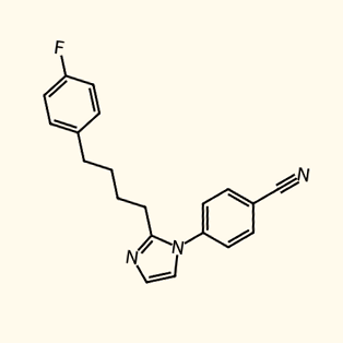 N#Cc1ccc(-n2ccnc2CCCCc2ccc(F)cc2)cc1